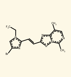 Cc1cnc(C)n2nc(/C=C/c3nc(Br)cn3CC(F)(F)F)nc12